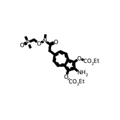 CCOC(=O)Oc1c2ccc(CC(=O)N(C)OCP(C)(C)=O)ccc-2c(OC(=O)OCC)c1N